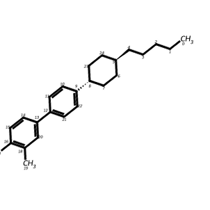 CCCCC[C@H]1CC[C@H](c2ccc(-c3ccc(O)c(C)c3)cc2)CC1